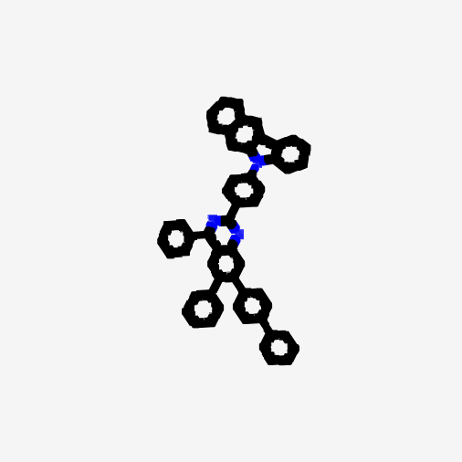 c1ccc(-c2ccc(-c3cc4nc(-c5ccc(-n6c7ccccc7c7cc8ccccc8cc76)cc5)nc(-c5ccccc5)c4cc3-c3ccccc3)cc2)cc1